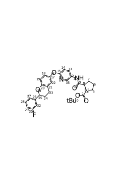 CC(C)(C)OC(=O)N1CCCC1C(=O)Nc1ccc(Oc2ccc3c(c2)CCC(c2cccc(F)c2)O3)nc1